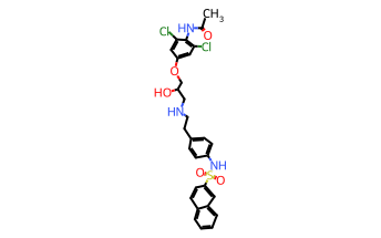 CC(=O)Nc1c(Cl)cc(OCC(O)CNCCc2ccc(NS(=O)(=O)c3ccc4ccccc4c3)cc2)cc1Cl